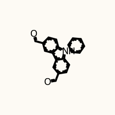 O=Cc1ccc2[nH]c3ccc(C=O)cc3c2c1.c1ccccc1